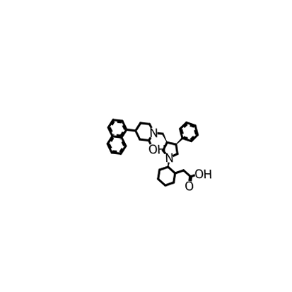 O=C(O)CC1CCCC[C@H]1N1C[C@@H](CN2CCC(c3cccc4ccccc34)CC2O)[C@@H](c2ccccc2)C1